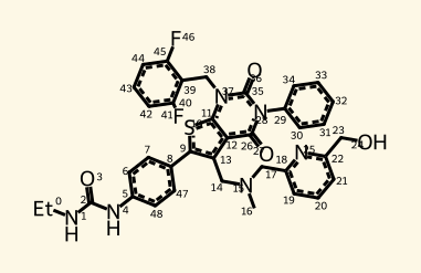 CCNC(=O)Nc1ccc(-c2sc3c(c2CN(C)Cc2cccc(CO)n2)c(=O)n(-c2ccccc2)c(=O)n3Cc2c(F)cccc2F)cc1